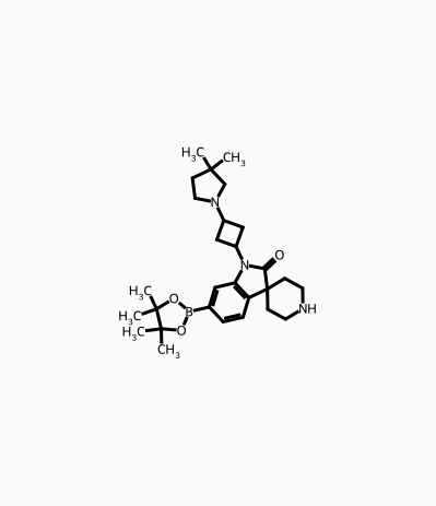 CC1(C)CCN(C2CC(N3C(=O)C4(CCNCC4)c4ccc(B5OC(C)(C)C(C)(C)O5)cc43)C2)C1